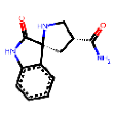 NC(=O)[C@H]1CN[C@]2(C1)C(=O)Nc1ccccc12